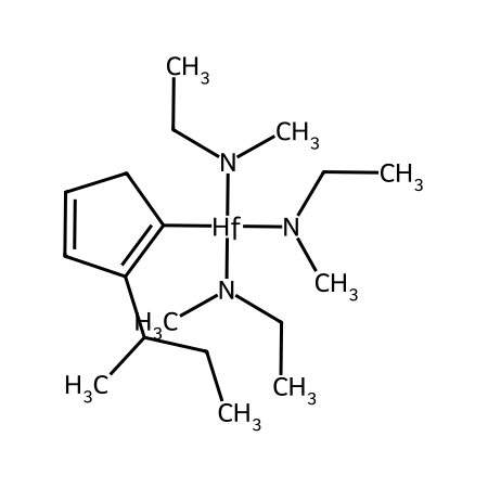 CCC(C)C1=[C]([Hf]([N](C)CC)([N](C)CC)[N](C)CC)CC=C1